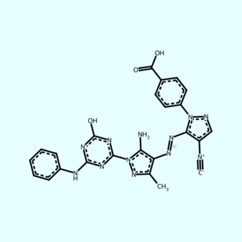 [C-]#[N+]c1cnn(-c2ccc(C(=O)O)cc2)c1/N=N/c1c(C)nn(-c2nc(O)nc(Nc3ccccc3)n2)c1N